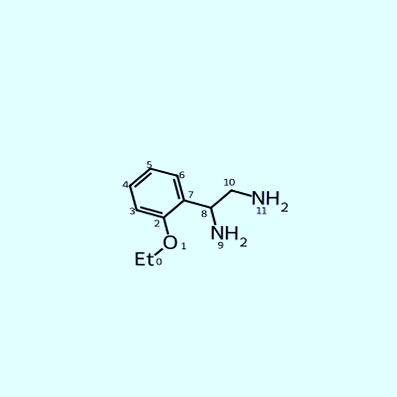 CCOc1ccccc1C(N)CN